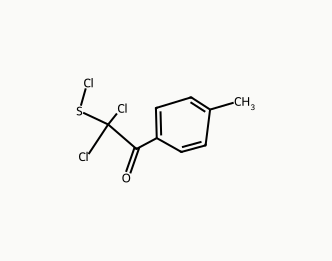 Cc1ccc(C(=O)C(Cl)(Cl)SCl)cc1